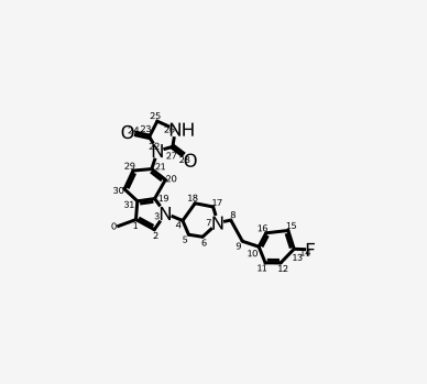 Cc1cn(C2CCN(CCc3ccc(F)cc3)CC2)c2cc(N3C(=O)CNC3=O)ccc12